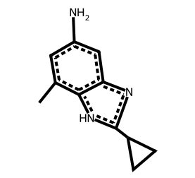 Cc1cc(N)cc2nc(C3CC3)[nH]c12